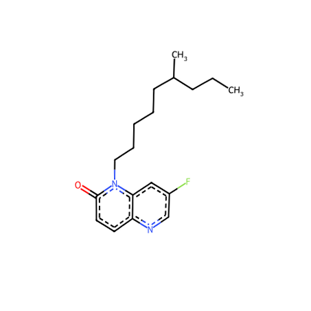 CCCC(C)CCCCCn1c(=O)ccc2ncc(F)cc21